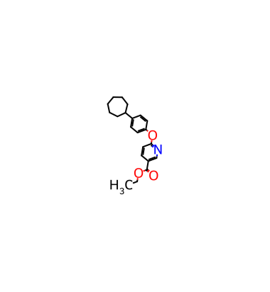 CCOC(=O)c1ccc(Oc2ccc(C3CCCCCC3)cc2)nc1